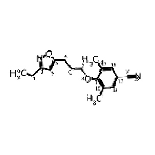 CCc1cc(CCCOc2c(C)cc(C#N)cc2C)on1